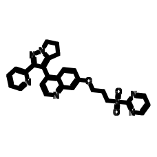 O=S(=O)(CCCOc1ccc2c(-c3c(-c4ccccn4)nn4c3CCC4)ccnc2c1)c1ncccn1